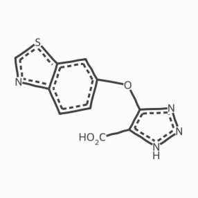 O=C(O)c1[nH]nnc1Oc1ccc2ncsc2c1